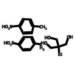 CCC(CO)(CO)CO.Cc1ccc(S(=O)(=O)O)cc1.Cc1ccc(S(=O)(=O)O)cc1